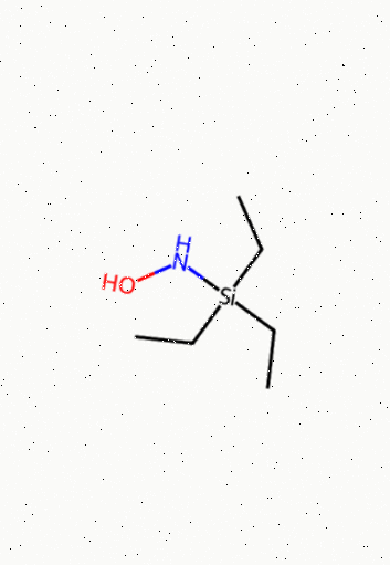 CC[Si](CC)(CC)NO